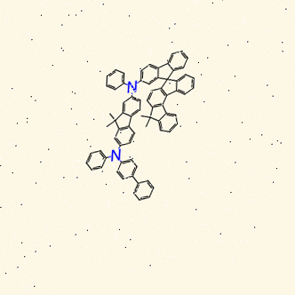 CC1(C)c2cc(N(c3ccccc3)c3ccc(-c4ccccc4)cc3)ccc2-c2ccc(N(c3ccccc3)c3ccc4c(c3)C3(c5ccccc5-4)c4ccccc4-c4c3ccc3c4-c4ccccc4C3(C)C)cc21